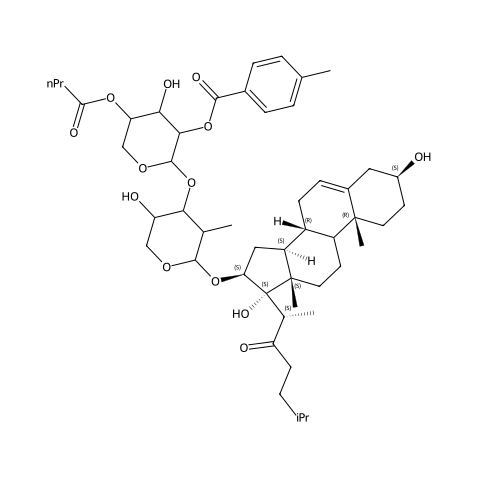 CCCC(=O)OC1COC(OC2C(O)COC(O[C@H]3C[C@H]4[C@@H]5CC=C6C[C@@H](O)CC[C@]6(C)C5CC[C@]4(C)[C@@]3(O)[C@H](C)C(=O)CCC(C)C)C2C)C(OC(=O)c2ccc(C)cc2)C1O